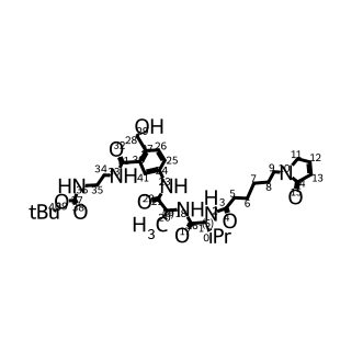 CC(C)[C@H](NC(=O)CCCCCN1CC=CC1=O)C(=O)N[C@@H](C)C(=O)Nc1ccc(CO)c(C(=O)NCCNC(=O)OC(C)(C)C)c1